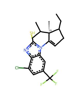 CCC1CC=C(n2c(S)nc3c(Cl)cc(C(F)(F)F)cc32)[C@@]1(C)C(C)C